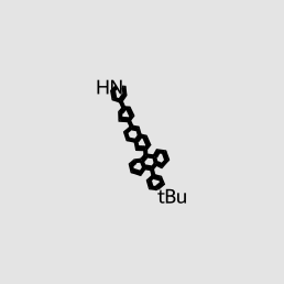 CC(C)(C)c1ccc(-c2c3ccccc3c(-c3ccc4c(c3)CCC(c3ccc(C5=CCNC=C5)cc3)=C4)c3ccccc23)cc1